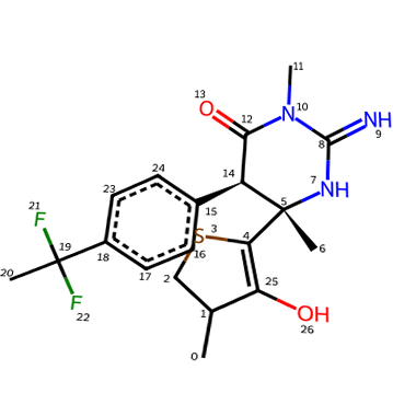 CC1CSC([C@@]2(C)NC(=N)N(C)C(=O)[C@@H]2c2ccc(C(C)(F)F)cc2)=C1O